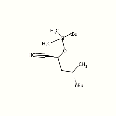 C#C[C@H](C[C@H](C)CCCC)O[Si](C)(C)C(C)(C)C